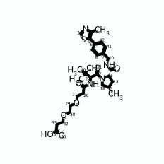 Cc1ncsc1-c1ccc(CNC(=O)[C@@H]2C[C@@H](C)CN2C(=O)C(NC(=O)CCOCCOCCC(=O)O)C(C)(C)C)cc1